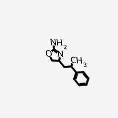 CC(CC1COC(N)=N1)c1ccccc1